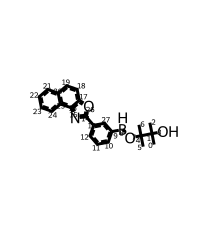 CC(C)(O)C(C)(C)OBc1cccc(-c2nc3c(ccc4ccccc43)o2)c1